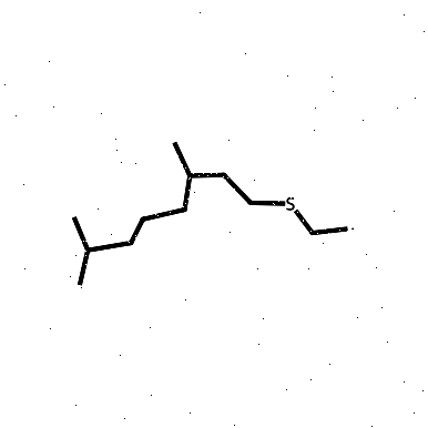 [CH2]CSCCC(C)CCCC(C)C